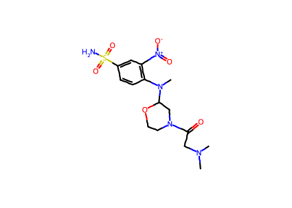 CN(C)CC(=O)N1CCOC(N(C)c2ccc(S(N)(=O)=O)cc2[N+](=O)[O-])C1